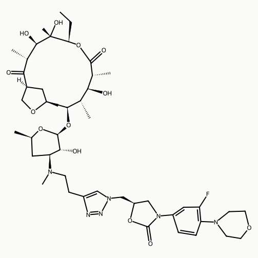 CC[C@H]1OC(=O)[C@H](C)[C@@H](O)[C@H](C)[C@@H](O[C@@H]2O[C@H](C)C[C@H](N(C)CCc3cn(C[C@H]4CN(c5ccc(N6CCOCC6)c(F)c5)C(=O)O4)nn3)[C@H]2O)[C@@]2(C)C[C@@H](CO2)C(=O)[C@H](C)[C@@H](O)[C@]1(C)O